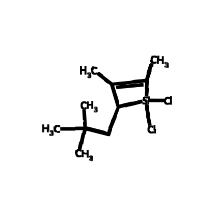 CC1=C(C)[Si](Cl)(Cl)C1CC(C)(C)C